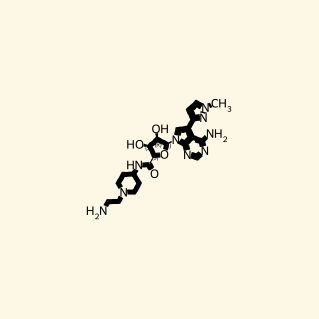 Cn1ccc(-c2cn([C@@H]3O[C@H](C(=O)NC4CCN(CCN)CC4)[C@@H](O)[C@H]3O)c3ncnc(N)c23)n1